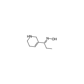 CCC(=NO)C1=CCCNC1